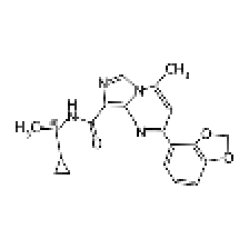 Cc1cc(-c2cccc3c2OCO3)nc2c(C(=O)N[C@H](C)C3CC3)ncn12